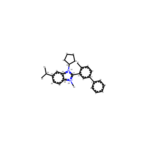 Cc1ccc(-c2ccccc2)cc1-c1n(C2CCCC2)c2cc(C(C)C)ccc2[n+]1C